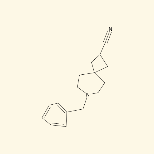 N#CC1CC2(CCN(Cc3ccccc3)CC2)C1